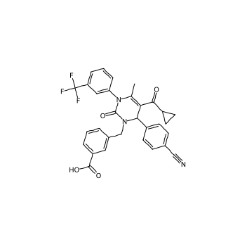 CC1=C(C(=O)C2CC2)C(c2ccc(C#N)cc2)N(Cc2cccc(C(=O)O)c2)C(=O)N1c1cccc(C(F)(F)F)c1